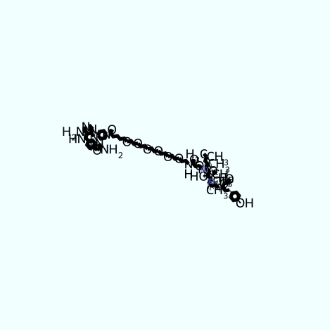 CO[C@@H](/C(=N/OCC(=O)NCCOCCOCCOCCOCCOCCOCCCCC(=O)N1CCC(Nc2ncnc(N)c2C(=N)c2ccc3oc(N)nc3c2)CC1)[C@H](C)CC(C)C)[C@H](O)/C(C)=C/[C@@H](C)[C@H](O)C[C@@H](CC[C@H]1CC[C@H](O)CC1)OC=O